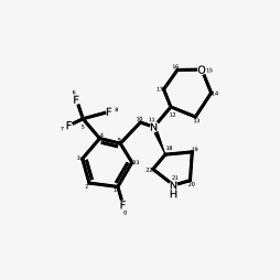 Fc1ccc(C(F)(F)F)c(CN(C2CCOCC2)[C@H]2CCNC2)c1